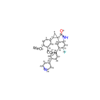 COc1ccc(C2CC23C(=O)Nc2cc(F)c(-c4ccc(-c5ccncc5)cc4)cc23)cc1C(=O)O